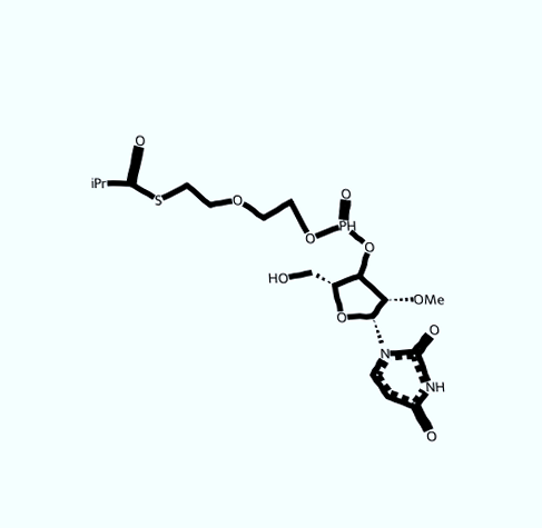 CO[C@H]1C(O[PH](=O)OCCOCCSC(=O)C(C)C)[C@@H](CO)O[C@H]1n1ccc(=O)[nH]c1=O